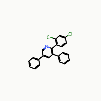 Clc1ccc(-c2ncc(-c3ccccc3)[c]c2-c2ccccc2)c(Cl)c1